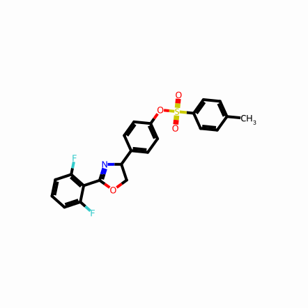 Cc1ccc(S(=O)(=O)Oc2ccc(C3COC(c4c(F)cccc4F)=N3)cc2)cc1